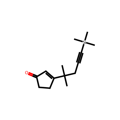 CC(C)(CC#C[Si](C)(C)C)C1=CC(=O)CC1